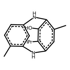 Cc1ccc2cc1Nc1cc(C)c(c(O)c1C(C)C)N2